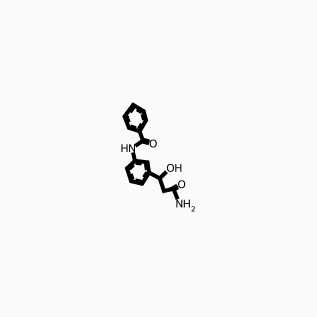 NC(=O)CC(O)c1cccc(NC(=O)c2ccccc2)c1